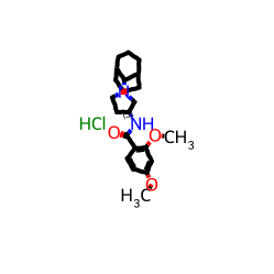 COc1ccc(C(=O)N[C@H]2CCN(C3C4CCCC3CCC4)C2)c(OC)c1.Cl